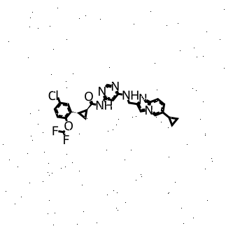 O=C(Nc1cc(NCc2cn3cc(C4CC4)ccc3n2)ncn1)[C@H]1C[C@@H]1c1cc(Cl)ccc1OC(F)F